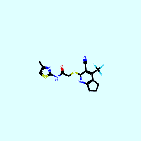 Cc1csc(NC(=O)CSC2NC3=C(CCC3)C(C(F)(F)F)=C2C#N)n1